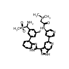 CN(C)CC(=O)Nc1cncc(-c2cc3c(-c4nc5c(-c6cc(F)cc(C(N)S(C)(=O)=O)c6)cccc5[nH]4)n[nH]c3cn2)c1